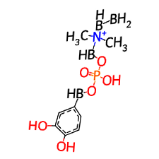 BB[N+](C)(C)BOP(=O)(O)OBc1ccc(O)c(O)c1